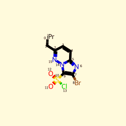 CC(C)Cc1ccc2nc(Br)c(S(=O)(=O)Cl)n2n1